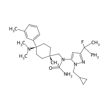 Cc1cccc([C@]2(N(C)C)CC[C@](C)(CN(C(N)=O)c3cc(C(C)(F)P)nn3CC3CC3)CC2)c1